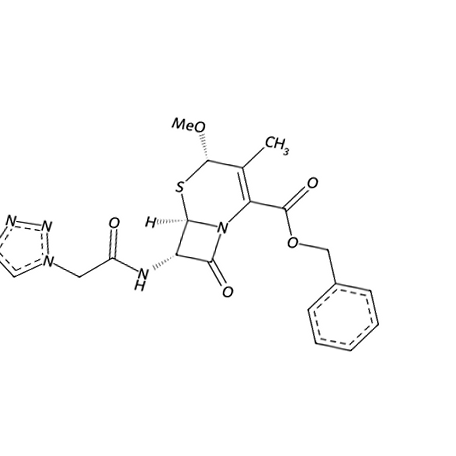 CO[C@H]1S[C@@H]2[C@@H](NC(=O)Cn3cnnn3)C(=O)N2C(C(=O)OCc2ccccc2)=C1C